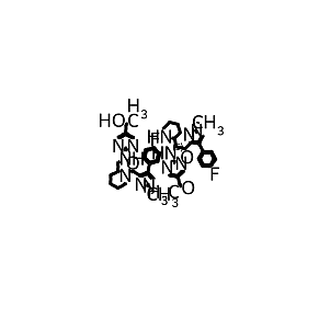 CC(=O)c1cnc(N[C@H](C(=O)c2nn(C)cc2-c2ccc(F)cc2)C2CCCCN2)nc1.CC(O)c1cnc(NCC2CCCCN2C(=O)c2nn(C)cc2-c2ccc(F)cc2)nc1